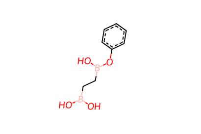 OB(O)CCB(O)Oc1ccccc1